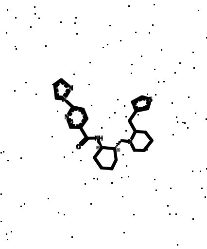 O=C(N[C@@H]1CCCC[C@H]1CN1CCCCC1Cc1ccsc1)c1ccc(-n2cccn2)nc1